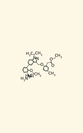 CCOC(=O)Cc1cc(C)ccc1OCc1nn(C(C)C)c2ccc(-c3cccc(C(=N)N)c3OC(C)C)cc12